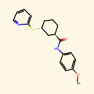 CC(C)Oc1ccc(NC(=O)[C@@H]2CCC[C@@H](Sc3ccccn3)C2)cc1